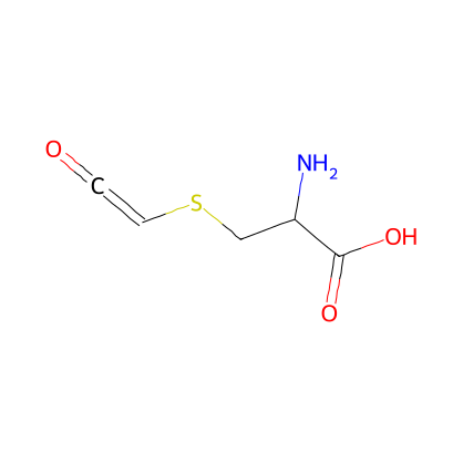 NC(CSC=C=O)C(=O)O